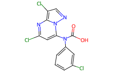 O=C(O)N(c1cccc(Cl)c1)c1cc(Cl)nc2c(Cl)cnn12